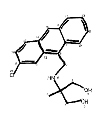 CC(CO)(CO)NCc1c2ccccc2cc2ccc(Cl)cc12